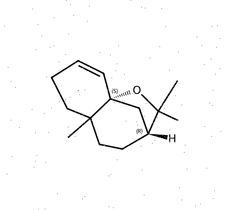 CC1(C)O[C@@]23C=CCCC2(C)CC[C@@H]1C3